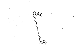 CCCC=CCCCCCCCC=COC(C)=O